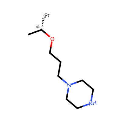 CC(C)[C@@H](C)OCCCN1CCNCC1